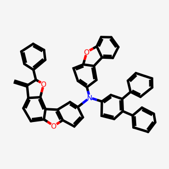 C=C1c2ccc3oc4ccc(N(c5ccc(-c6ccccc6)c(-c6ccccc6)c5)c5ccc6oc7ccccc7c6c5)cc4c3c2OC1c1ccccc1